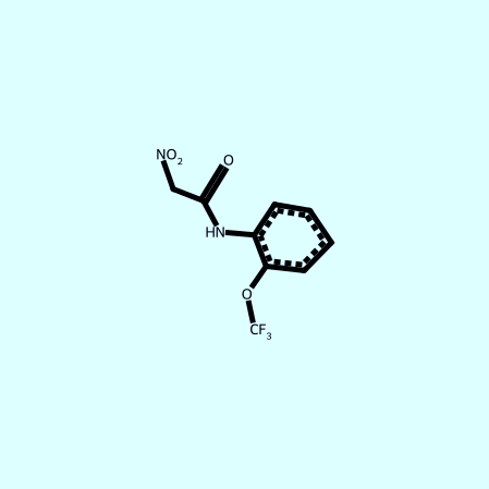 O=C(C[N+](=O)[O-])Nc1ccccc1OC(F)(F)F